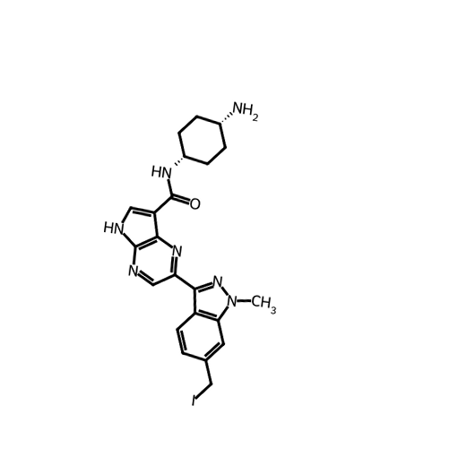 Cn1nc(-c2cnc3[nH]cc(C(=O)N[C@H]4CC[C@@H](N)CC4)c3n2)c2ccc(CI)cc21